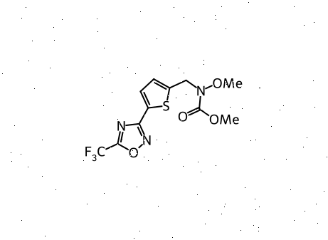 COC(=O)N(Cc1ccc(-c2noc(C(F)(F)F)n2)s1)OC